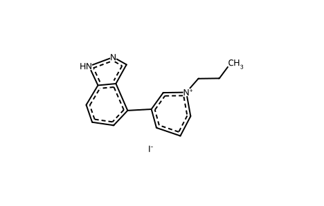 CCC[n+]1cccc(-c2cccc3[nH]ncc23)c1.[I-]